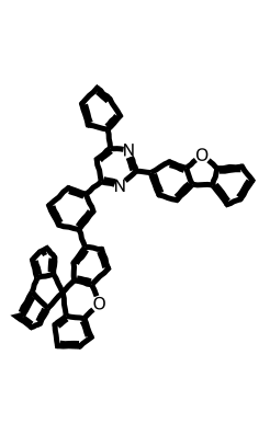 c1ccc(-c2cc(-c3cccc(-c4ccc5c(c4)C4(c6ccccc6O5)c5ccccc5-c5ccccc54)c3)nc(-c3ccc4c(c3)oc3ccccc34)n2)cc1